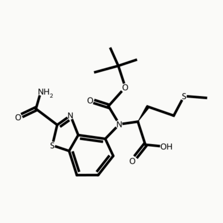 CSCC[C@@H](C(=O)O)N(C(=O)OC(C)(C)C)c1cccc2sc(C(N)=O)nc12